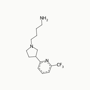 NCCCCN1CCC(c2cccc(C(F)(F)F)n2)C1